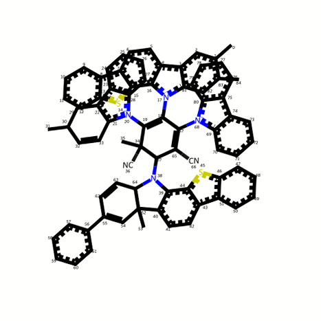 Cc1cc2c3ccc4c5ccccc5sc4c3n(C3=C(n4c5c(c6ccccc64)CC(C)C=C5)C(C)(C#N)C(N4c5c(ccc6c5sc5ccccc56)C5(C)C=C(c6ccccc6)C=CC45)C(C#N)=C3n3c4ccccc4c4ccccc43)c2cc1C